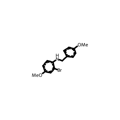 COc1ccc(CNc2ccc(OC)cc2Br)cc1